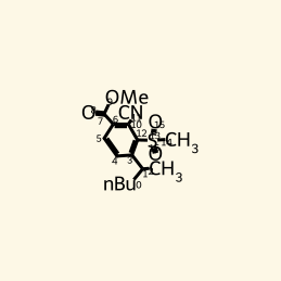 CCCCC(C)c1ccc(C(=O)OC)c(C#N)c1S(C)(=O)=O